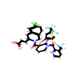 CCC[C@H]1N(C(=O)c2ncccc2C(F)(F)F)CCC[C@@]1(Oc1csc(C(F)(F)F)c1)C(=O)N1Cc2ccc(Cl)cc2CC1CCC(=O)O